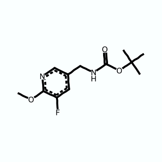 COc1ncc(CNC(=O)OC(C)(C)C)cc1F